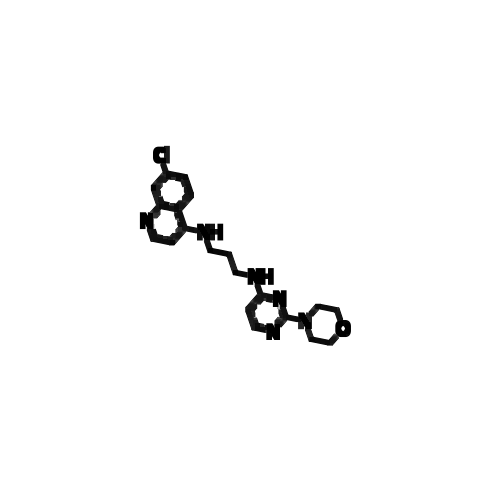 Clc1ccc2c(NCCCNc3ccnc(N4CCOCC4)n3)ccnc2c1